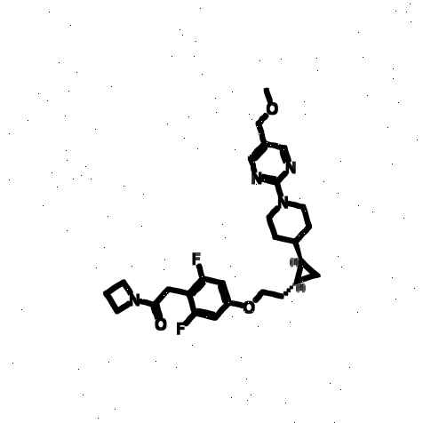 COCc1cnc(N2CCC([C@H]3C[C@@H]3CCOc3cc(F)c(CC(=O)N4CCC4)c(F)c3)CC2)nc1